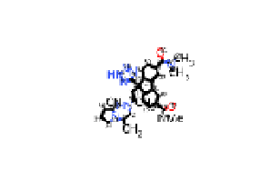 C=C(CN[C@H](C)CC1(c2nn[nH]n2)c2ccc(C(=O)NC)cc2-c2cc(C(=O)N(C)C)ccc21)N1CCCC1C#N